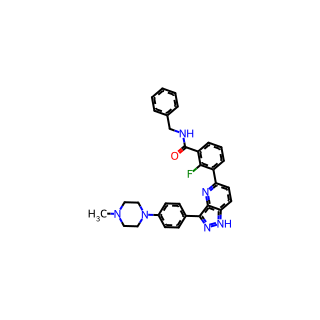 CN1CCN(c2ccc(-c3n[nH]c4ccc(-c5cccc(C(=O)NCc6ccccc6)c5F)nc34)cc2)CC1